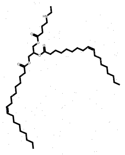 CCCCCCCC/C=C\CCCCCCCC(=O)OCC(COC(=O)CCCNCC)OC(=O)CCCCCCC/C=C\CCCCCCCC